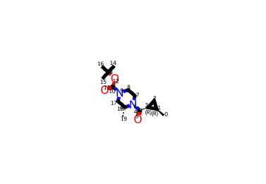 C[C@@H]1C[C@H]1C(=O)N1CCN(C(=O)OC(C)(C)C)C[C@H]1C